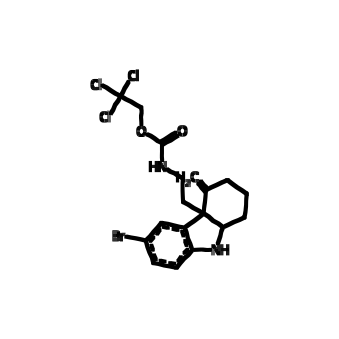 C=C1CCCC2Nc3ccc(Br)cc3C12CCNC(=O)OCC(Cl)(Cl)Cl